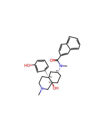 CN1CC[C@@]2(c3cccc(O)c3)C[C@H](N(C)C(=O)c3ccc4ccccc4c3)CC[C@]2(O)C1